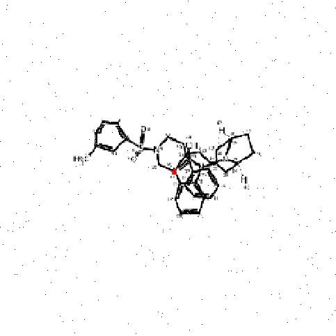 Cc1cccc(S(=O)(=O)N2CCC(CCN3[C@@H]4CC[C@H]3CC(n3c(C)nc5ccccc53)C4)(c3ccccc3)CC2)c1